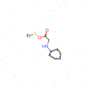 CCSOC(=O)CNc1ccccc1